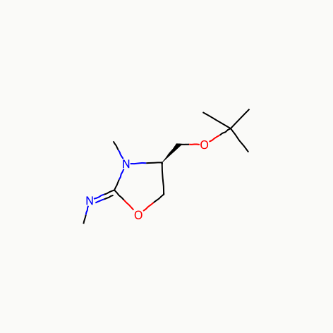 C/N=C1\OC[C@H](COC(C)(C)C)N1C